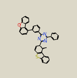 CC1c2c(sc3ccccc23)C=CC1c1nc(-c2ccccc2)nc(-c2cccc(-c3cccc4oc5ccccc5c34)c2)n1